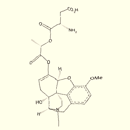 COc1ccc2c3c1O[C@@H]1C(OC(=O)[C@H](C)OC(=O)[C@@H](N)CC(=O)O)=CC[C@]4(O)[C@H](C2)N(C)CC[C@@]314